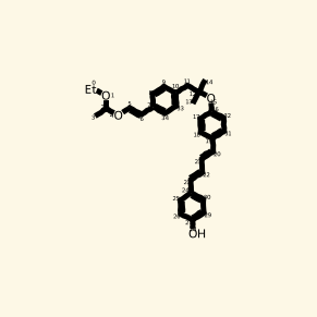 CCOC(C)OC=Cc1ccc(CC(C)(C)Oc2ccc(C=CC=Cc3ccc(O)cc3)cc2)cc1